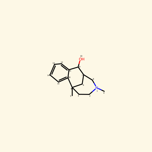 CN1CCC2(C)CC(C1)C(O)c1ccccc12